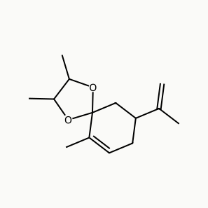 C=C(C)C1CC=C(C)C2(C1)OC(C)C(C)O2